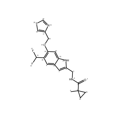 CC1(C(=O)NCc2cc3cc(C(F)F)c(OCc4cscn4)cc3[nH]2)CC1